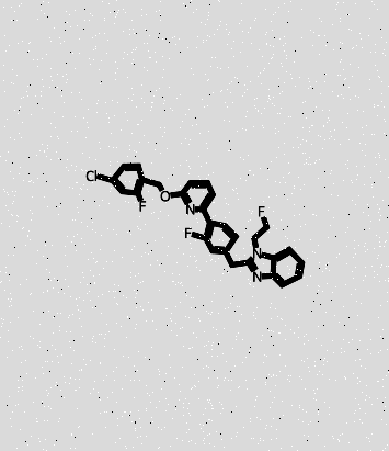 FCCn1c(Cc2ccc(-c3cccc(OCc4ccc(Cl)cc4F)n3)c(F)c2)nc2ccccc21